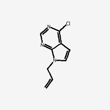 C=CCn1ccc2c(Cl)ncnc21